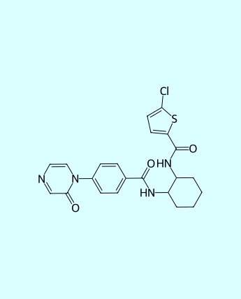 O=C(NC1CCCCC1NC(=O)c1ccc(Cl)s1)c1ccc(-n2ccncc2=O)cc1